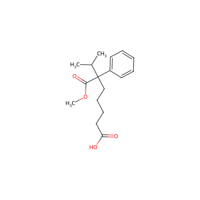 COC(=O)C(CCCCC(=O)O)(c1ccccc1)C(C)C